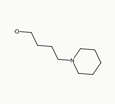 [O]CCCCN1CCCCC1